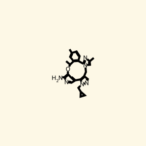 Cc1ccc2c(c1)C(C)Oc1cc(cnc1N)-c1c(cnn1CC1CC1)Cn1cc(C)nc1-2